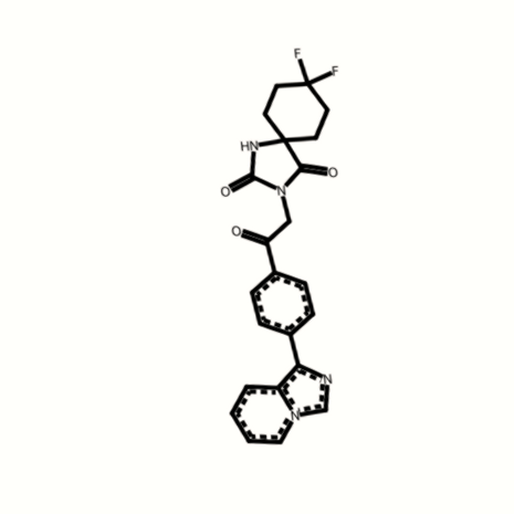 O=C(CN1C(=O)NC2(CCC(F)(F)CC2)C1=O)c1ccc(-c2ncn3ccccc23)cc1